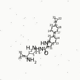 NC(CC[C@H](N)CNC(=O)c1cc2ccc(-c3ccc(C4CC4)cc3)cc2[nH]1)C1CC1